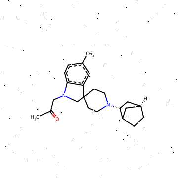 CC(=O)CN1CC2(CCN([C@@H]3C[C@H]4CCC3C4)CC2)c2cc(C)ccc21